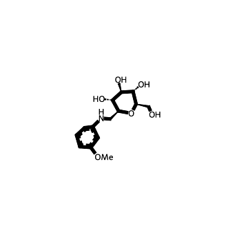 COc1cccc(NC[C@@H]2O[C@H](CO)[C@@H](O)[C@H](O)[C@H]2O)c1